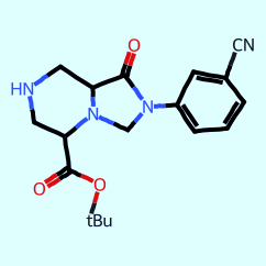 CC(C)(C)OC(=O)C1CNCC2C(=O)N(c3cccc(C#N)c3)CN12